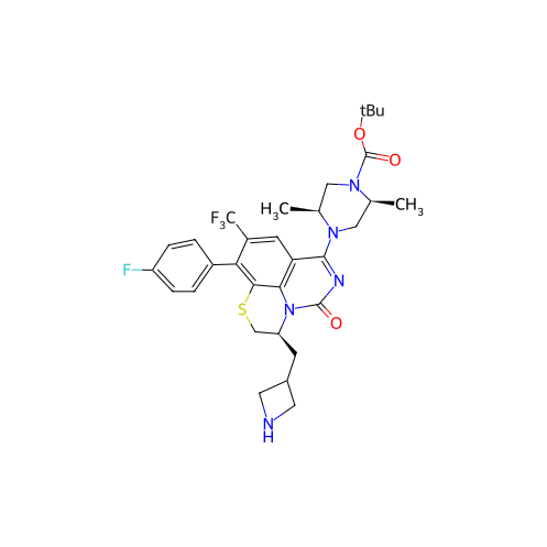 C[C@H]1CN(c2nc(=O)n3c4c(c(-c5ccc(F)cc5)c(C(F)(F)F)cc24)SC[C@@H]3CC2CNC2)[C@@H](C)CN1C(=O)OC(C)(C)C